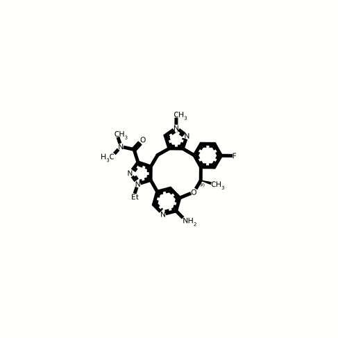 CCn1nc(C(=O)N(C)C)c2c1-c1cnc(N)c(c1)O[C@H](C)c1cc(F)ccc1-c1nn(C)cc1C2